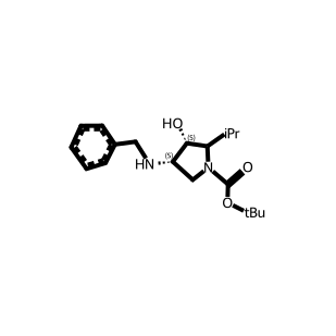 CC(C)C1[C@@H](O)[C@@H](NCc2ccccc2)CN1C(=O)OC(C)(C)C